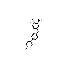 CCc1cc(Cc2ccc(C3CCC(C)CC3)cc2)ccc1N